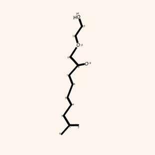 CC(C)CCCCCC([O])COCCO